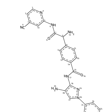 N#Cc1ccnc(NC(=O)C(N)c2ccc(C(=O)Nc3nn(-c4ccccc4)cc3N)cc2)c1